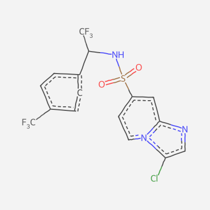 O=S(=O)(NC(c1ccc(C(F)(F)F)cc1)C(F)(F)F)c1ccn2c(Cl)cnc2c1